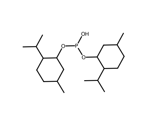 CC1CCC(C(C)C)C(OP(O)OC2CC(C)CCC2C(C)C)C1